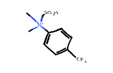 C[N+](C)(c1ccc(C(F)(F)F)cc1)S(=O)(=O)O